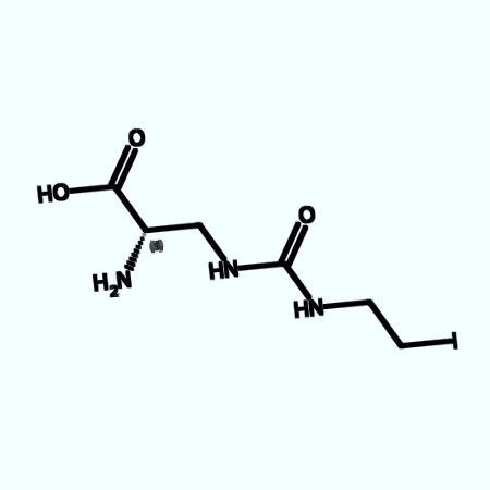 N[C@@H](CNC(=O)NCCI)C(=O)O